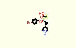 Brc1ccc(COC[C@@H]2C[C@@H]2C2CCNCC2)cc1.O=C(O)C(F)(F)F